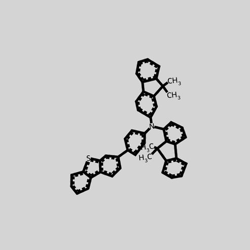 CC1(C)c2ccccc2-c2ccc(N(c3ccc(-c4ccc5c(c4)sc4ccccc45)cc3)c3cccc4c3C(C)(C)c3ccccc3-4)cc21